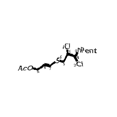 CCCCCC(Cl)C(Cl)CSC=CCOC(C)=O